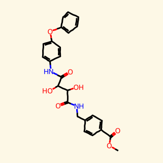 COC(=O)c1ccc(CNC(=O)C(O)C(O)C(=O)Nc2ccc(Oc3ccccc3)cc2)cc1